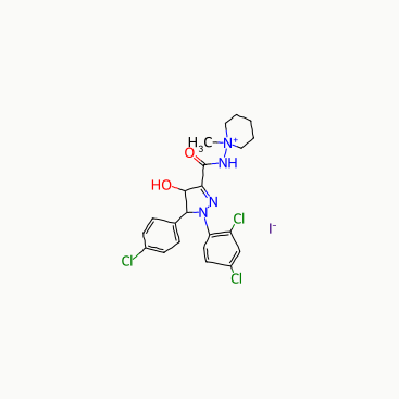 C[N+]1(NC(=O)C2=NN(c3ccc(Cl)cc3Cl)C(c3ccc(Cl)cc3)C2O)CCCCC1.[I-]